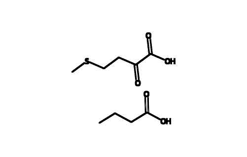 CCCC(=O)O.CSCCC(=O)C(=O)O